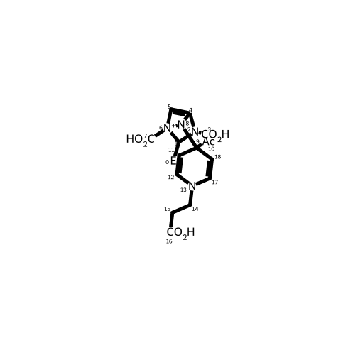 CCC1N(C(=O)O)C2=C[N+]1(C(=O)O)N2C1(C(C)=O)C=CN(CCC(=O)O)C=C1